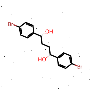 O[C@H](CC[C@@H](O)c1ccc(Br)cc1)c1ccc(Br)cc1